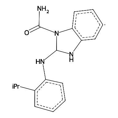 CC(C)c1ccccc1NC1Nc2c[c]ccc2N1C(N)=O